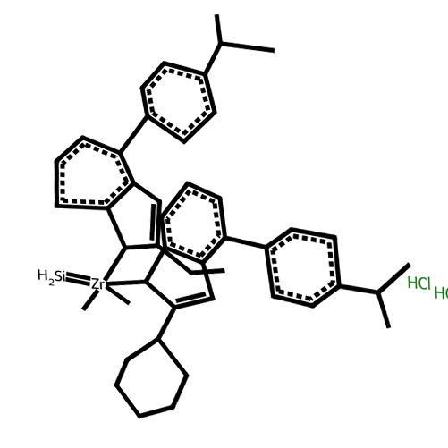 CCC1=Cc2c(-c3ccc(C(C)C)cc3)cccc2[CH]1[Zr]([CH3])([CH3])(=[SiH2])[CH]1C(C2CCCCC2)=Cc2c(-c3ccc(C(C)C)cc3)cccc21.Cl.Cl